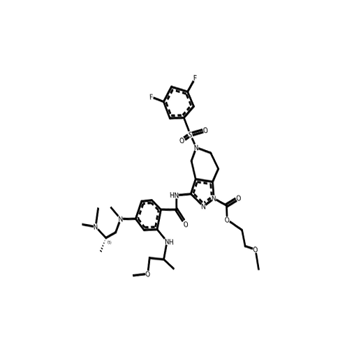 COCCOC(=O)n1nc(NC(=O)c2ccc(N(C)C[C@H](C)N(C)C)cc2NC(C)COC)c2c1CCN(S(=O)(=O)c1cc(F)cc(F)c1)C2